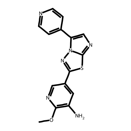 COc1ncc(-c2nn3c(-c4ccncc4)cnc3s2)cc1N